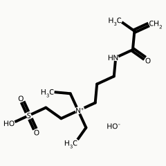 C=C(C)C(=O)NCCC[N+](CC)(CC)CCS(=O)(=O)O.[OH-]